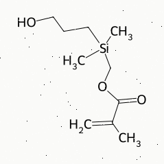 C=C(C)C(=O)OC[Si](C)(C)CCCO